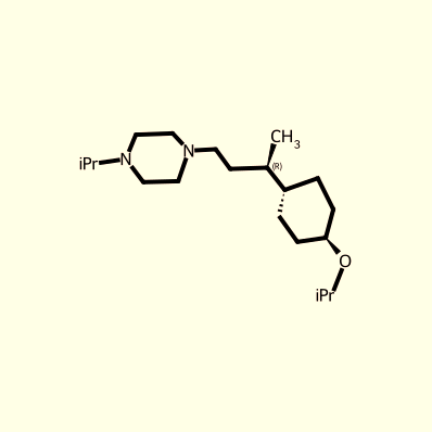 CC(C)O[C@H]1CC[C@H]([C@H](C)CCN2CCN(C(C)C)CC2)CC1